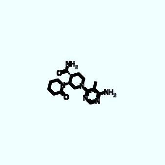 Cc1c(N)ncnc1N1CC[C@@H](C(N)=O)[C@H](N2CCCCC2=O)C1